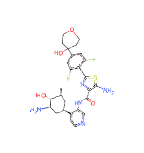 C[C@H]1C[C@@H](c2ccncc2NC(=O)c2nc(-c3c(F)cc(C4(O)CCOCC4)cc3F)sc2N)C[C@@H](N)[C@@H]1O